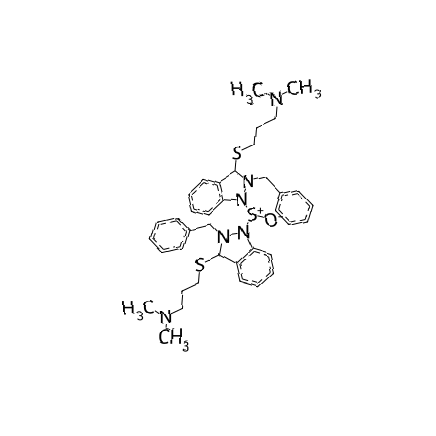 CN(C)CCCSC1c2ccccc2N([S+]([O-])N2c3ccccc3C(SCCCN(C)C)N2Cc2ccccc2)N1Cc1ccccc1